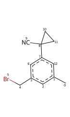 Cc1cc(CBr)cc(C2(C#N)CC2)c1